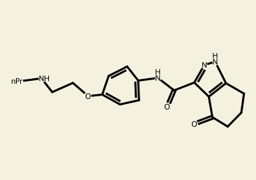 CCCNCCOc1ccc(NC(=O)c2n[nH]c3c2C(=O)CCC3)cc1